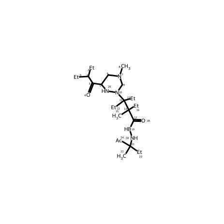 CCC(CC)C(=O)C1CN(C)CN(C(CC)(CC)C(C)(CC)C(=O)BNC(C)(CC)C(C)=O)N1